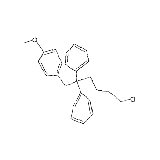 COc1ccc(CC(CCCCCl)(c2ccccc2)c2ccccc2)cc1